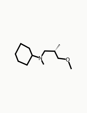 COC[C@@H](C)CN(C)C1CCCCC1